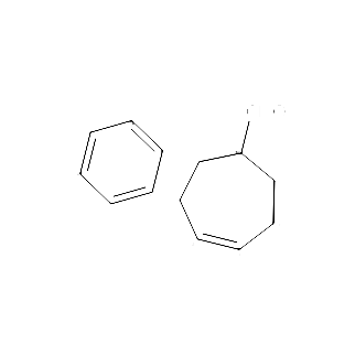 O=CC1CCC=CCC1.[c]1ccccc1